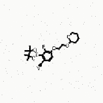 CC1(C)OB(c2c(C#N)ccc(OCCOC3CCCCO3)c2F)OC1(C)C